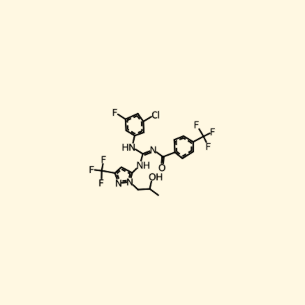 CC(O)Cn1nc(C(F)(F)F)cc1N/C(=N\C(=O)c1ccc(C(F)(F)F)cc1)Nc1cc(F)cc(Cl)c1